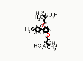 Cc1ccc(-c2cc(OCCCC(C)(C)C(=O)O)ccc2OCCCC(C)(C)C(=O)O)cc1